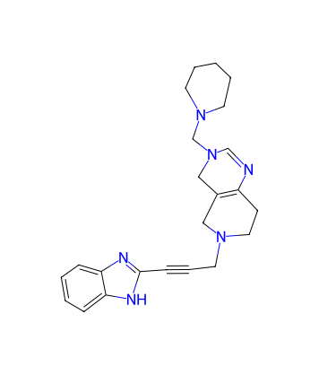 C(#Cc1nc2ccccc2[nH]1)CN1CCC2=C(CN(CN3CCCCC3)C=N2)C1